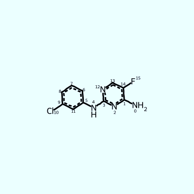 Nc1nc(Nc2cccc(Cl)c2)ncc1F